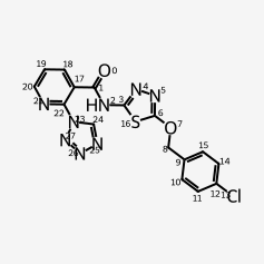 O=C(Nc1nnc(OCc2ccc(Cl)cc2)s1)c1cccnc1-n1cnnn1